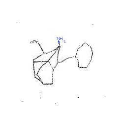 CCCC1C2CC3CC(C2)C(C2CCCCC2)[C@]1(N)C3